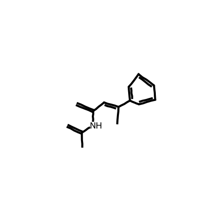 C=C(C)NC(=C)/C=C(\C)c1ccccc1